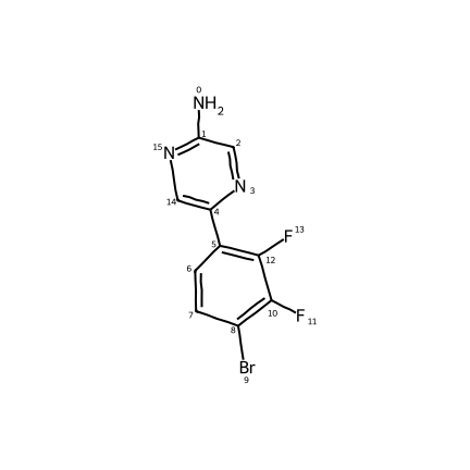 Nc1cnc(-c2ccc(Br)c(F)c2F)cn1